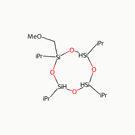 COC[Si]1(C(C)C)O[SiH](C(C)C)O[SiH](C(C)C)O[SiH](C(C)C)O1